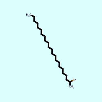 CCCCCCCCCCCCCCCCCCC[CH]CC(C)Br